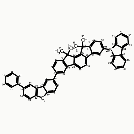 CC1(C)c2ccc(-c3ccc4oc5ccc(-c6ccccc6)cc5c4c3)cc2-c2ccc3c(c21)C(C)(C)c1ccc(-n2c4ccccc4c4ccccc42)cc1-3